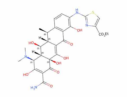 CCOC(=O)c1csc(Nc2ccc3c(c2O)C(=O)C2=C(O)[C@]4(O)C(=O)C(C(N)=O)=C(O)[C@@H](N(C)C)[C@@H]4[C@@H](O)[C@@H]2[C@H]3C)n1